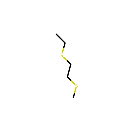 [CH2]CSCCSC